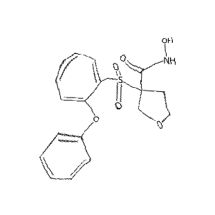 O=C(NO)C1(S(=O)(=O)c2ccccc2Oc2ccccc2)CCOC1